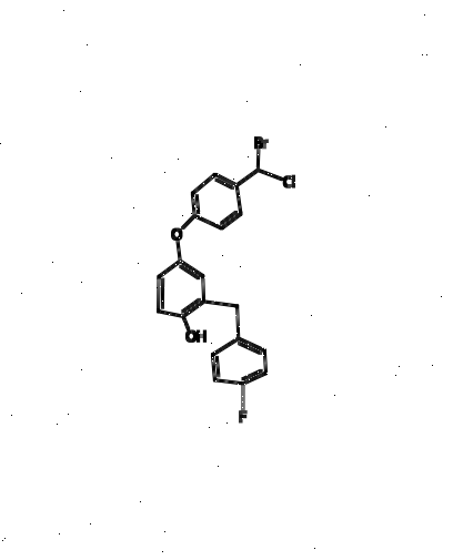 Oc1ccc(Oc2ccc(C(Cl)Br)cc2)cc1Cc1ccc(F)cc1